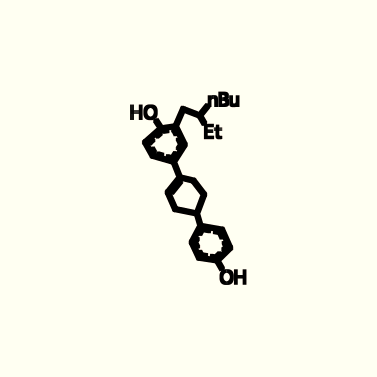 CCCCC(CC)Cc1cc(C2=CCC(c3ccc(O)cc3)CC2)ccc1O